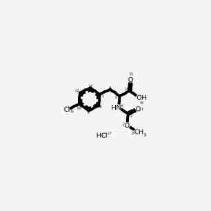 COC(=O)NC(Cc1ccc(Cl)cc1)C(=O)O.Cl